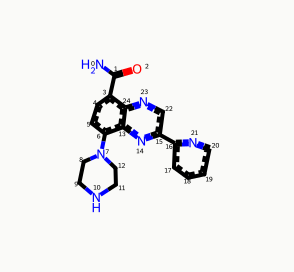 NC(=O)c1ccc(N2CCNCC2)c2nc(-c3ccccn3)cnc12